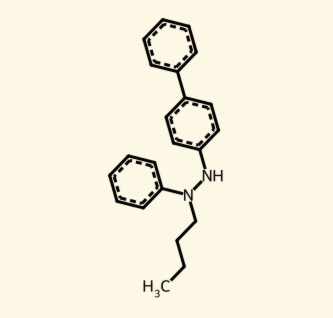 CCCCN(Nc1ccc(-c2ccccc2)cc1)c1ccccc1